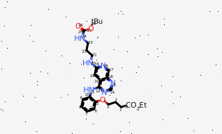 CCOC(=O)CCCOc1ccccc1Nc1ncnc2cnc(NCCCNC(=O)OC(C)(C)C)cc12